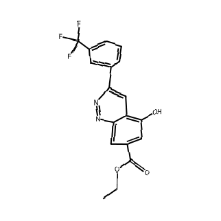 CCOC(=O)c1cc(O)c2cc(-c3cccc(C(F)(F)F)c3)nnc2c1